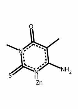 Cc1c(N)[nH]c(=S)n(C)c1=O.[Zn]